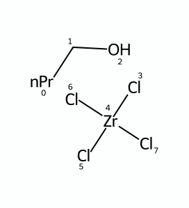 CCCCO.[Cl][Zr]([Cl])([Cl])[Cl]